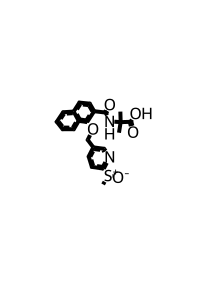 C[S+]([O-])c1ccc(COc2c(C(=O)NC(C)(C)C(=O)O)ccc3ccccc23)cn1